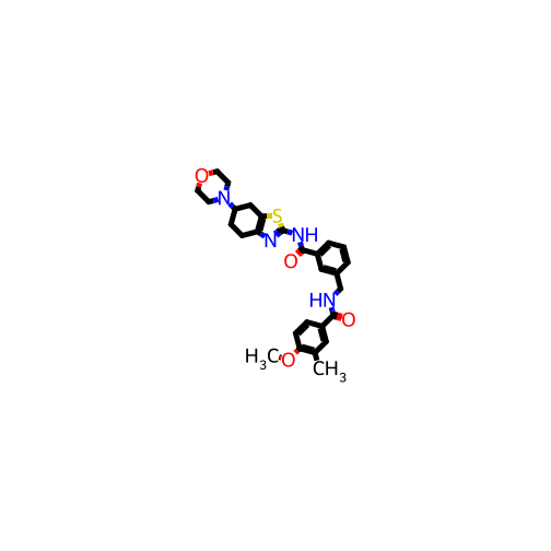 COc1ccc(C(=O)NCc2cccc(C(=O)Nc3nc4c(s3)CC(N3CCOCC3)CC4)c2)cc1C